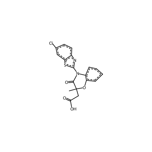 CC1(CC(=O)O)Oc2ccccc2N(c2nc3ccc(Cl)cc3s2)C1=O